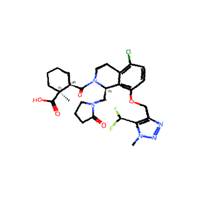 Cn1nnc(COc2ccc(Cl)c3c2[C@@H](CN2CCCC2=O)N(C(=O)[C@@H]2CCCC[C@]2(C)C(=O)O)CC3)c1C(F)F